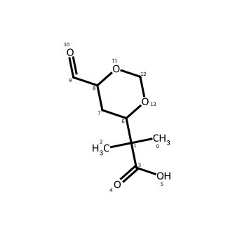 CC(C)(C(=O)O)C1CC(C=O)OCO1